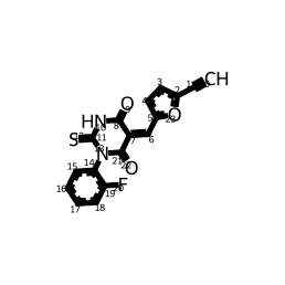 C#Cc1ccc(/C=C2\C(=O)NC(=S)N(c3ccccc3F)C2=O)o1